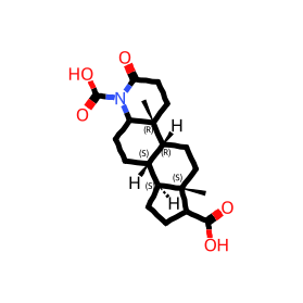 C[C@]12CCC(=O)N(C(=O)O)C1CC[C@@H]1[C@H]2CC[C@]2(C)C(C(=O)O)CC[C@@H]12